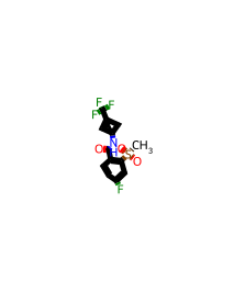 CS(=O)(=O)c1cc(F)ccc1C(=O)NC12CC(C(F)(F)F)(C1)C2